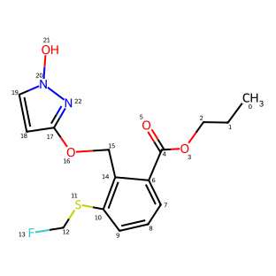 CCCOC(=O)c1cccc(SCF)c1COc1ccn(O)n1